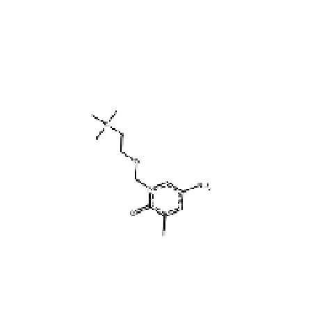 C[Si](C)(C)CCOCn1cc([N+](=O)[O-])cc(I)c1=O